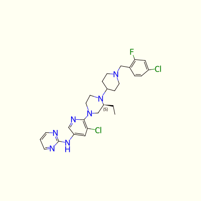 CC[C@H]1CN(c2ncc(Nc3ncccn3)cc2Cl)CCN1C1CCN(Cc2ccc(Cl)cc2F)CC1